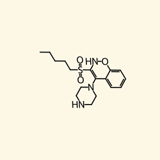 CCCCCS(=O)(=O)C1=C(N2CCNCC2)c2ccccc2ON1